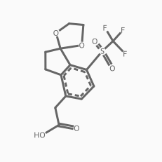 O=C(O)Cc1ccc(S(=O)(=O)C(F)(F)F)c2c1CCC21OCCO1